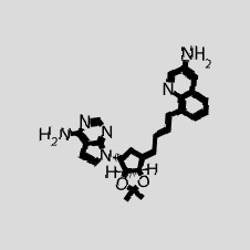 CC1(C)O[C@@H]2[C@H](O1)C(CCCCc1cccc3cc(N)cnc13)C[C@H]2n1ccc2c(N)ncnc21